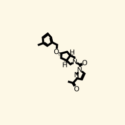 CC(=O)c1ccn(C(=O)N2C[C@H]3C[C@H](OCc4cccc(C)c4)C[C@H]3C2)n1